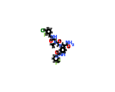 NC(=O)c1cn(CC(=O)N(CC(=O)NCc2cccc(Cl)c2F)C2CC2)c2cc(NC(=O)N3CCCC(F)(F)C3)ccc12